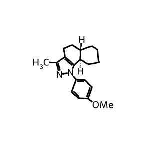 COc1ccc(-n2nc(C)c3c2[C@@H]2CCCC[C@H]2CC3)cc1